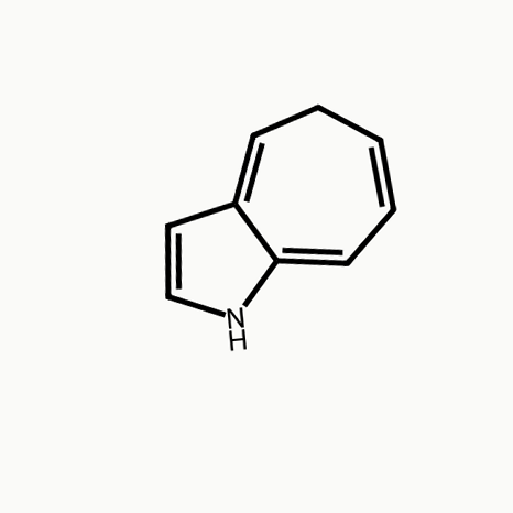 C1=CCC=c2cc[nH]c2=C1